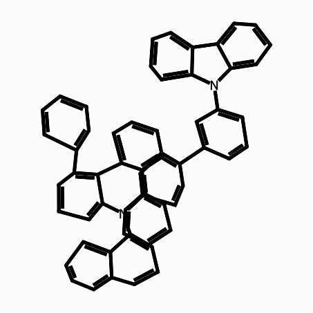 c1ccc(-c2ccccc2-c2c(-c3ccccc3)cccc2N(c2ccc(-c3cccc(-n4c5ccccc5c5ccccc54)c3)cc2)c2cccc3ccccc23)cc1